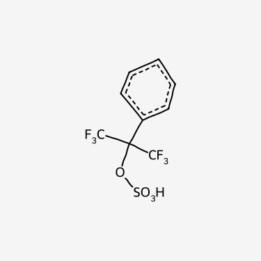 O=S(=O)(O)OC(c1ccccc1)(C(F)(F)F)C(F)(F)F